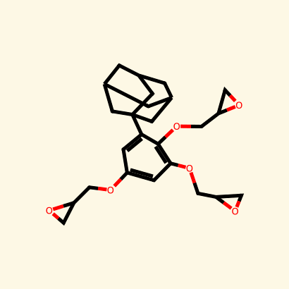 c1c(OCC2CO2)cc(C23CC4CC(CC(C4)C2)C3)c(OCC2CO2)c1OCC1CO1